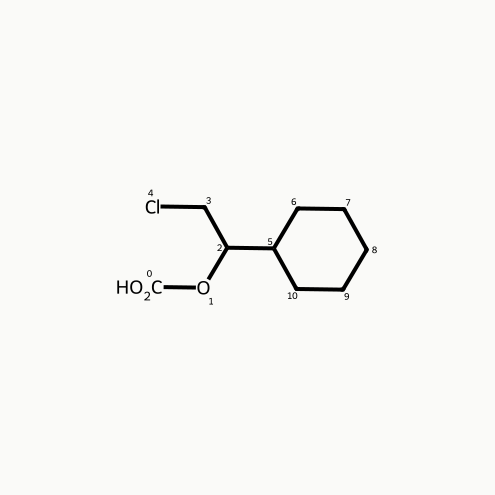 O=C(O)OC(CCl)C1CCCCC1